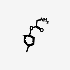 Cc1c[c]c(OC(=O)CN)cc1